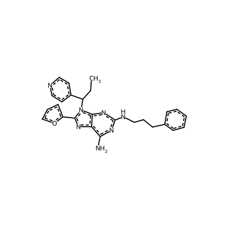 CCC(c1ccncc1)n1c(-c2ccco2)nc2c(N)nc(NCCCc3ccccc3)nc21